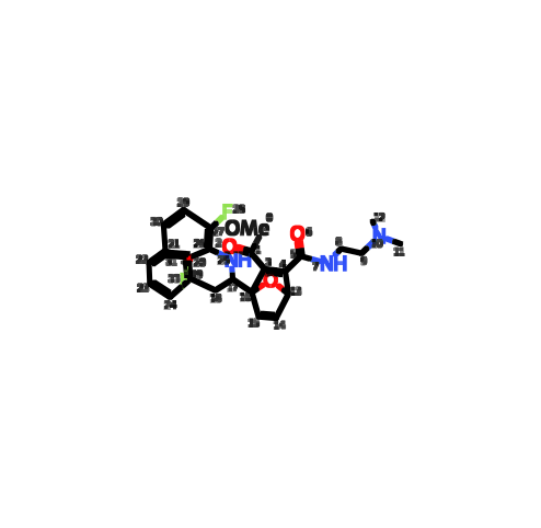 COC(=O)C1=C(C(=O)NCCN(C)C)C2C=CC1(C(Cc1ccccc1)Nc1c(F)cccc1F)O2